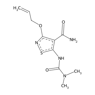 C=CCOc1nsc(NC(=O)N(C)C)c1C(N)=O